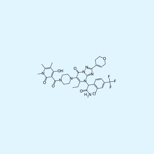 CCc1c(N2CCN(C(=O)c3c(O)c(C)c(C)n(C)c3=O)CC2)c(=O)n2nc(C3=CCOCC3)nc2n1C(C(N)=O)c1ccc(C(F)(F)F)cc1Cl